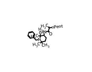 C=C(CCCCC)C(=O)NC1CCC(C)(C)N(Cc2ccccc2)C1(C)C